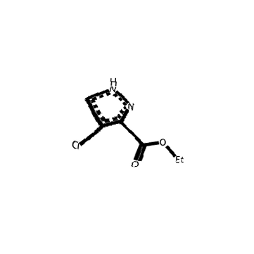 CCOC(=O)c1n[nH]cc1Cl